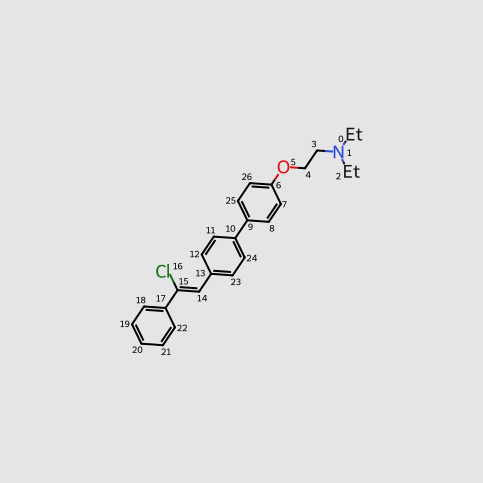 CCN(CC)CCOc1ccc(-c2ccc(C=C(Cl)c3ccccc3)cc2)cc1